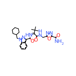 CC(C)(C)[C@H](NC(=O)c1nn(CC2CCCCC2)c2ccccc12)C(=O)NCc1nnc(C(N)=O)o1